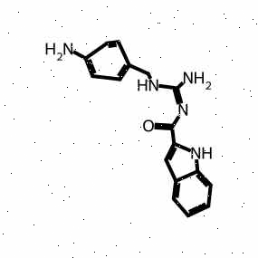 NC(=NC(=O)c1cc2ccccc2[nH]1)NCc1ccc(N)cc1